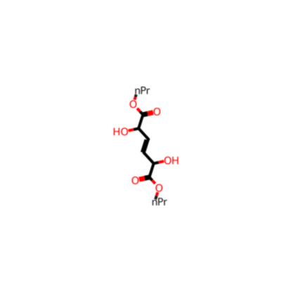 CCCOC(=O)C(O)/C=C/C(O)C(=O)OCCC